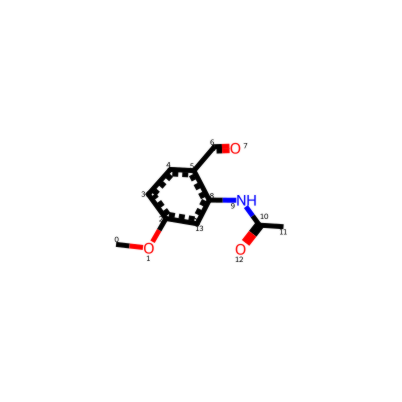 COc1ccc([C]=O)c(NC(C)=O)c1